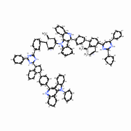 C=C/C=C(\C=C/Cc1cccc(-c2nc(-c3ccccc3)nc(-c3ccc(-c4ccc(-c5nc6ccccc6c6c5c5ccccc5n6-c5ccccc5)cc4)c4ccccc34)n2)c1)n1c2ccccc2c2c(-c3ccc(-c4ccc(-c5cc(-c6ccccc6)nc(-c6ccccc6)n5)c(/C=C\C)c4C=C)cc3)nc3ccccc3c21